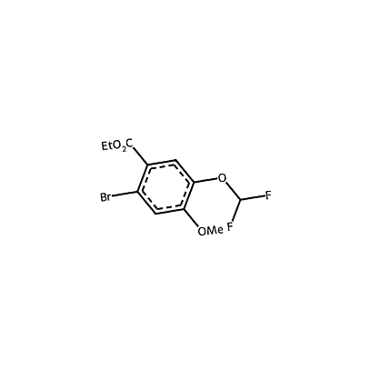 CCOC(=O)c1cc(OC(F)F)c(OC)cc1Br